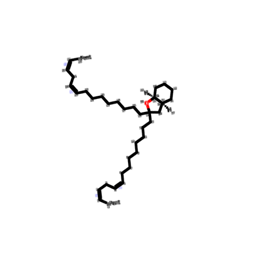 CCCCC/C=C\C/C=C\CCCCCCCCC1(CCCCCCCC/C=C\C/C=C\CCCCC)C[C@@H]2CCCC[C@@H]2O1